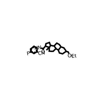 CCOCC1CCC2C(CCC3C2CCC2(C)C(C(=O)Nc4ccc(F)cc4C#N)CCC32)C1